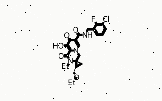 CCOC[C@H]1C[C@@]12Cn1cc(C(=O)NCc3cccc(Cl)c3F)c(=O)c(O)c1C(=O)N2CC